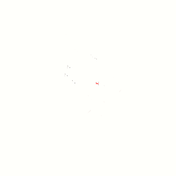 Cc1cc2c(c(-c3nnnc(-c4cc5c6ccc7c(c6cc-5sn4)Cc4ccccc4-7)c3-c3c(C)c(C)cc4c3Cc3ccccc3-4)c1C)Cc1ccccc1-2